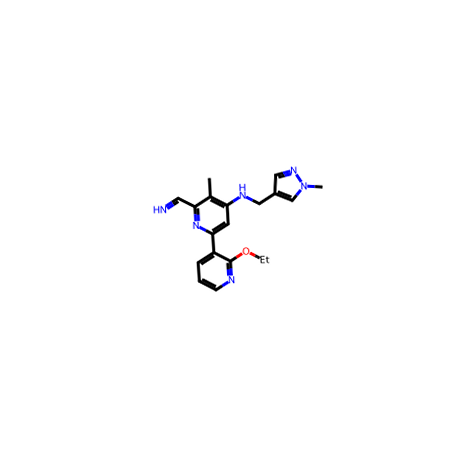 CCOc1ncccc1-c1cc(NCc2cnn(C)c2)c(C)c(C=N)n1